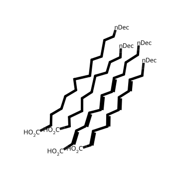 CCCCCCCCCCCC=CC=CC=CC=CC(=O)O.CCCCCCCCCCCCCC=CC=CC=CC=CC(=O)O.CCCCCCCCCCCCCCCCCCCC(=O)O.CCCCCCCCCCCCCCCCCCCCCC(=O)O